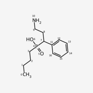 CCCCP(=O)(O)C(CCN)c1ccccc1